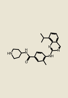 Cc1cc(C(=O)NC2CCNCC2)ccc1Nc1ncc2cccc(C(C)C)c2n1